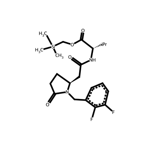 CC(C)[C@H](NC(=O)C[C@@H]1CCC(=O)N1Cc1cccc(F)c1F)C(=O)OC[Si](C)(C)C